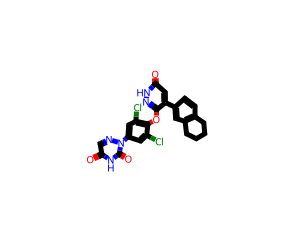 O=c1cc(-c2ccc3c(c2)CCCC3)c(Oc2c(Cl)cc(-n3ncc(=O)[nH]c3=O)cc2Cl)n[nH]1